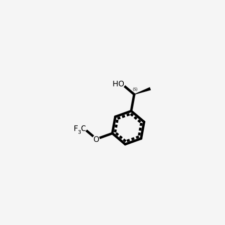 C[C@H](O)c1cccc(OC(F)(F)F)c1